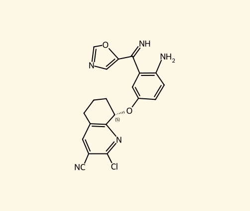 N#Cc1cc2c(nc1Cl)[C@@H](Oc1ccc(N)c(C(=N)c3cnco3)c1)CCC2